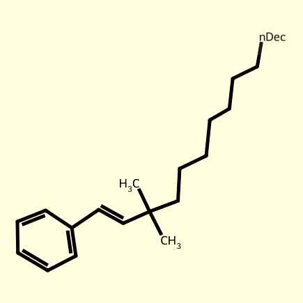 CCCCCCCCCCCCCCCCCC(C)(C)C=Cc1ccccc1